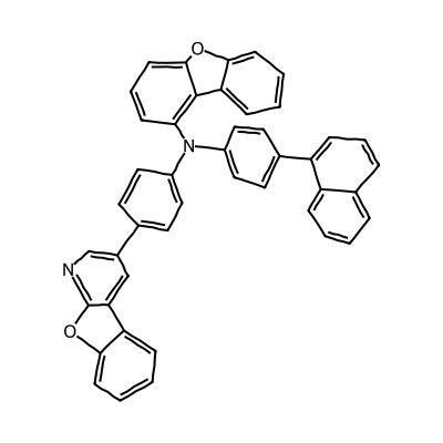 c1ccc2c(-c3ccc(N(c4ccc(-c5cnc6oc7ccccc7c6c5)cc4)c4cccc5oc6ccccc6c45)cc3)cccc2c1